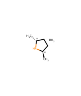 B.C[C@@H]1CC[C@@H](C)P1